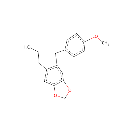 CCCc1cc2c(cc1Cc1ccc(OC)cc1)OCO2